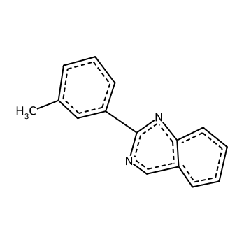 Cc1cccc(-c2ncc3ccccc3n2)c1